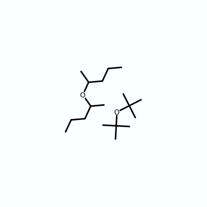 CC(C)(C)OC(C)(C)C.CCCC(C)OC(C)CCC